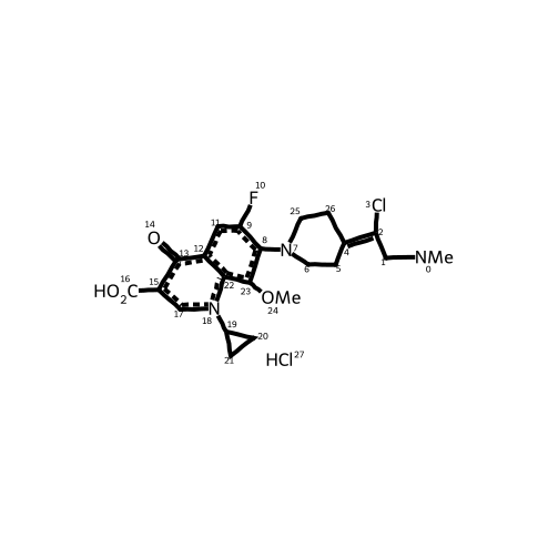 CNCC(Cl)=C1CCN(c2c(F)cc3c(=O)c(C(=O)O)cn(C4CC4)c3c2OC)CC1.Cl